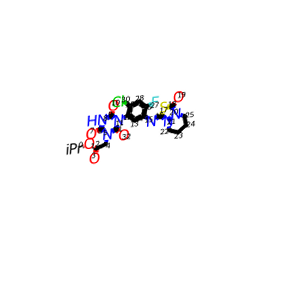 CC(C)OC(=O)Cn1c(=O)[nH]c(=O)n(-c2cc(N=c3sc(=O)n4n3CCCC4)c(F)cc2Cl)c1=O